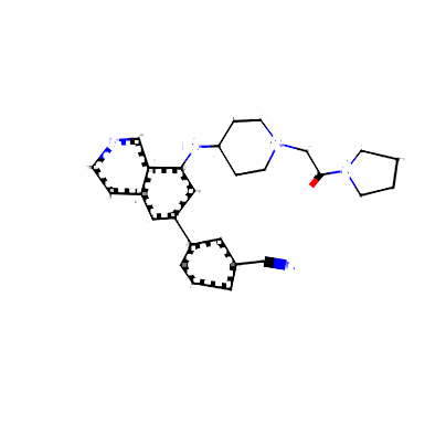 N#Cc1cccc(-c2cc(NC3CCN(CC(=O)N4CCCC4)CC3)c3cnccc3c2)c1